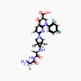 CC(N[C@H]1[C@@H]2CN(c3nc4c(cc3F)C(=O)C(C(=O)O)CN4c3ccc(F)cc3F)C[C@@H]21)C(=O)NC(=O)[C@H](C)N